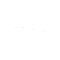 COCCCC=C(C)C(=O)O